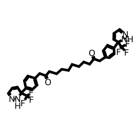 O=C(CCCCCCCCC(=O)Cc1ccc(C2(C(F)(F)F)C=CC=NN2)cc1)Cc1ccc(C2(C(F)(F)F)C=CC=NN2)cc1